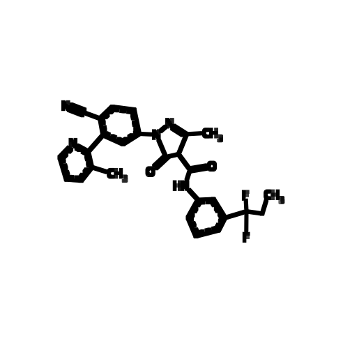 CCC(F)(F)c1cccc(NC(=O)C2C(=O)N(c3ccc(C#N)c(-c4ncccc4C)c3)N=C2C)c1